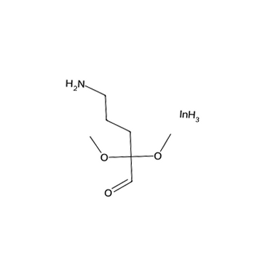 COC(C=O)(CCCN)OC.[InH3]